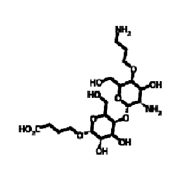 NCCCO[C@@H]1C(CO)O[C@@H](O[C@@H]2C(CO)O[C@@H](OCCCC(=O)O)[C@@H](O)C2O)[C@@H](N)C1O